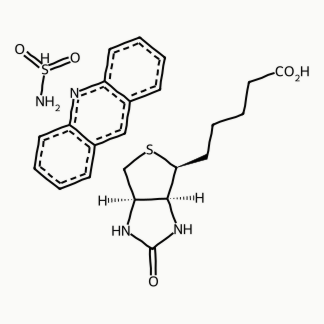 N[SH](=O)=O.O=C(O)CCCC[C@@H]1SC[C@@H]2NC(=O)N[C@@H]21.c1ccc2nc3ccccc3cc2c1